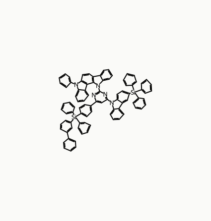 c1ccc(-c2cccc([Si](c3ccccc3)(c3ccccc3)c3ccc(-c4cc(-n5c6ccccc6c6cc([Si](c7ccccc7)(c7ccccc7)c7ccccc7)ccc65)nc(-n5c6ccccc6c6ccc7c(c8ccccc8n7-c7ccccc7)c65)n4)cc3)c2)cc1